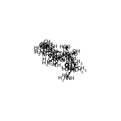 CC[C@H](C)[C@H](NC(=O)[C@@H](N)CCCNC(=N)N)C(=O)N[C@@H](C)C(=O)N[C@@H](Cc1ccc(O)cc1)C(=O)N[C@@H](CCC(=O)O)C(=O)N[C@@H](CCC(=O)O)C(=O)N[C@@H](CCCCN)C(=O)N[C@@H](CS)C(=O)N[C@@H](CC(C)C)C(=O)N[C@H](C(=O)N1CCC[C@H]1C(=O)N[C@@H](CCCNC(=N)N)C(=O)N[C@@H](CS)C(=O)N[C@@H](C)C(=O)N[C@H](C(=O)O)C(C)C)[C@@H](C)CC